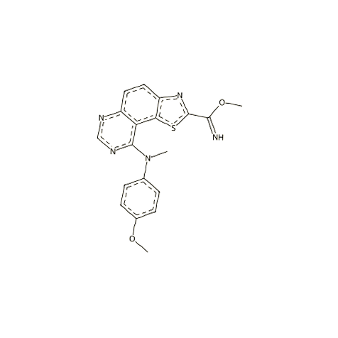 COC(=N)c1nc2ccc3ncnc(N(C)c4ccc(OC)cc4)c3c2s1